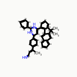 C/C(=C\C=N)c1ccc(C2C=C(c3cccc4c3-c3cc5ccccc5cc3C4(C)C)NC(c3ccccc3)N2)cc1